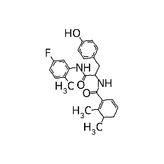 CC1=C(C(=O)NC(Cc2ccc(O)cc2)C(=O)Nc2cc(F)ccc2C)C=CCC1C